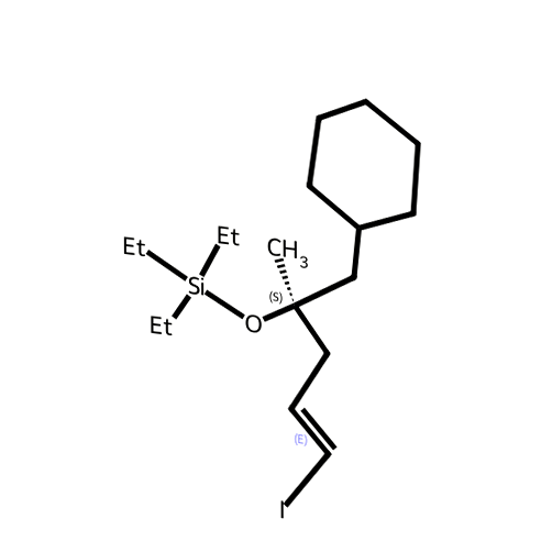 CC[Si](CC)(CC)O[C@](C)(C/C=C/I)CC1CCCCC1